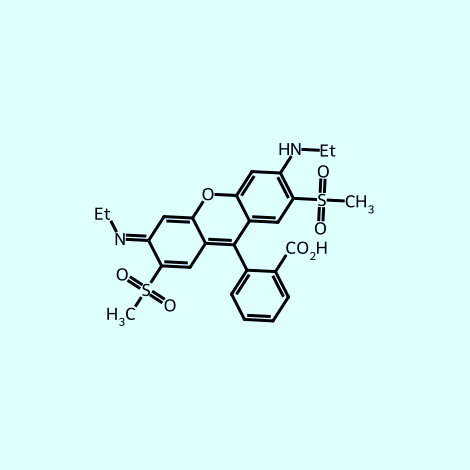 CCN=c1cc2oc3cc(NCC)c(S(C)(=O)=O)cc3c(-c3ccccc3C(=O)O)c-2cc1S(C)(=O)=O